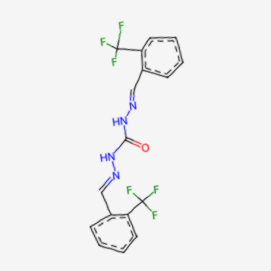 O=C(N/N=C/c1ccccc1C(F)(F)F)N/N=C/c1ccccc1C(F)(F)F